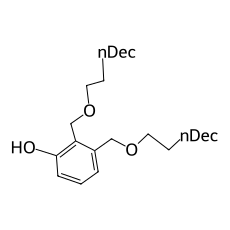 CCCCCCCCCCCCOCc1cccc(O)c1COCCCCCCCCCCCC